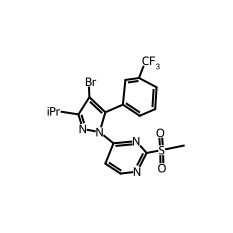 CC(C)c1nn(-c2ccnc(S(C)(=O)=O)n2)c(-c2cccc(C(F)(F)F)c2)c1Br